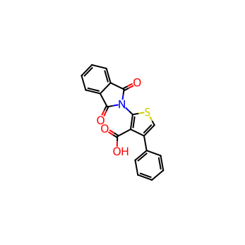 O=C(O)c1c(-c2ccccc2)csc1N1C(=O)c2ccccc2C1=O